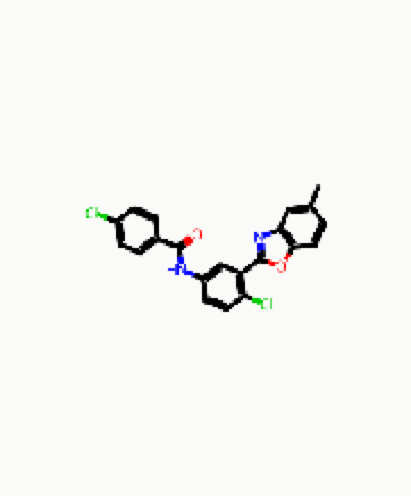 Cc1ccc2oc(-c3cc(NC(=O)c4ccc(Cl)cc4)ccc3Cl)nc2c1